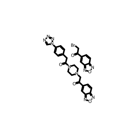 O=C(CBr)c1ccc2nonc2c1.O=C(CN1CCN(C(=O)Cc2ccc(-n3cnnn3)cc2)CC1)c1ccc2nonc2c1